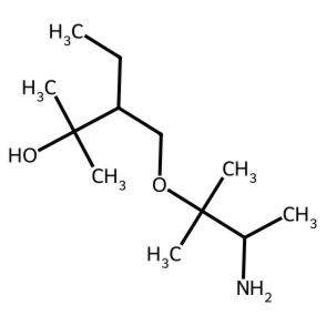 CCC(COC(C)(C)C(C)N)C(C)(C)O